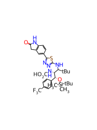 CC(C)(C)C(Nc1nnc(-c2ccc3c(c2)CC(=O)N3)s1)[C@@H](NC(=O)O)[C@H](O[Si](C)(C)C(C)(C)C)c1ccc(C(F)(F)F)cc1